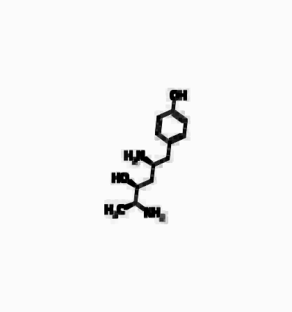 C[C@H](N)[C@@H](O)C[C@@H](N)Cc1ccc(O)cc1